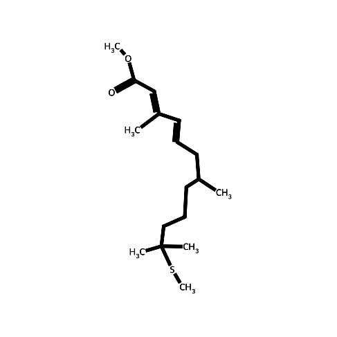 COC(=O)/C=C(C)/C=C/CC(C)CCCC(C)(C)SC